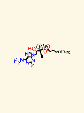 C#CC(COC(=O)CCCCCCCCCCCCC)(OC)[C@@H](O)Cn1cnc2c(N)nc(F)nc21